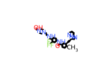 Cc1ccc(C(=O)Nc2ccc(CNCCN3CCN(CO)CC3)c(C(F)(F)F)c2)cc1C#Cc1cnc2cccnn12